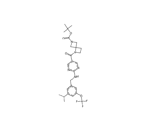 CC(C)c1cc(CNc2ncc(C(=O)N3CCC34CN(C(=O)OC(C)(C)C)C4)cn2)cc(OC(F)(F)F)c1